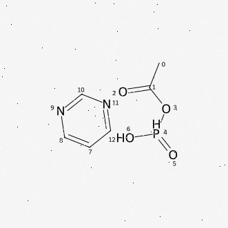 CC(=O)O[PH](=O)O.c1cncnc1